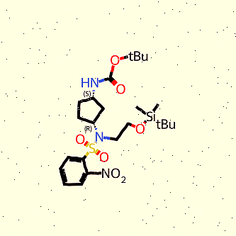 CC(C)(C)OC(=O)N[C@H]1CC[C@@H](N(CCO[Si](C)(C)C(C)(C)C)S(=O)(=O)c2ccccc2[N+](=O)[O-])C1